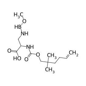 C=CCCC(C)(C)COC(=O)NC(CNBOC)C(=O)O